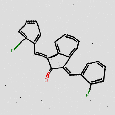 O=C1/C(=C/c2ccccc2F)c2ccccc2/C1=C\c1ccccc1F